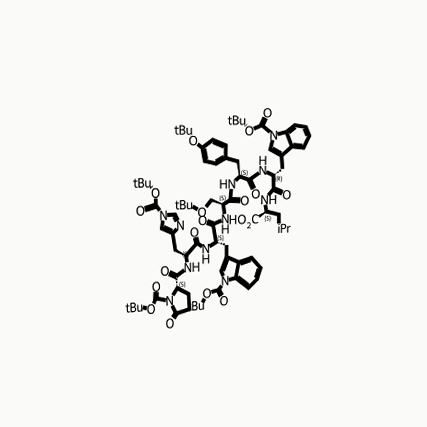 CC(C)C[C@H](NC(=O)[C@@H](Cc1cn(C(=O)OC(C)(C)C)c2ccccc12)NC(=O)[C@H](Cc1ccc(OC(C)(C)C)cc1)NC(=O)[C@H](COC(C)(C)C)NC(=O)[C@H](Cc1cn(C(=O)OC(C)(C)C)c2ccccc12)NC(=O)[C@H](Cc1cn(C(=O)OC(C)(C)C)cn1)NC(=O)[C@@H]1CCC(=O)N1C(=O)OC(C)(C)C)C(=O)O